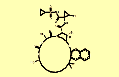 CC[C@@H]1[C@@H]2CN(C(=O)[C@H](C(C)(C)C)NC(=O)O[C@H](C)CCCCCCC(F)(F)c3nc4ccccc4nc3O2)[C@@H]1C(=O)N[C@]1(C(=O)NS(=O)(=O)C2CC2)C[C@H]1CC